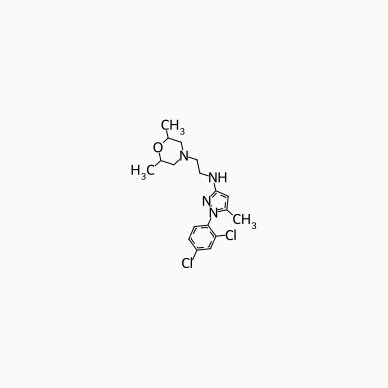 Cc1cc(NCCN2CC(C)OC(C)C2)nn1-c1ccc(Cl)cc1Cl